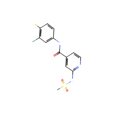 CS(=O)(=O)Nc1cc(C(=O)Nc2ccc(F)c(Cl)c2)ccn1